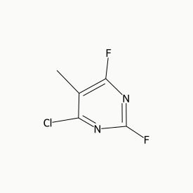 Cc1c(F)nc(F)nc1Cl